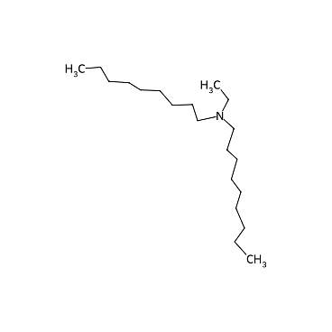 CCCCCCCCCN(CC)CCCCCCCCC